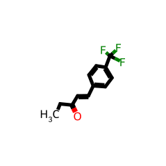 CCC(=O)C=Cc1ccc(C(F)(F)F)cc1